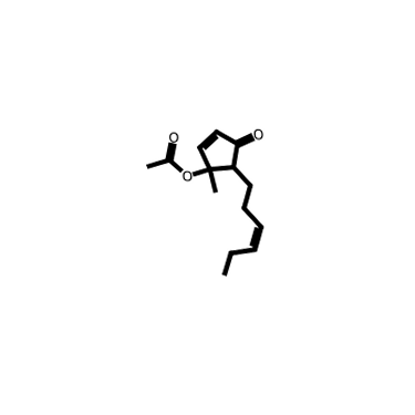 CC/C=C\CCC1C(=O)C=CC1(C)OC(C)=O